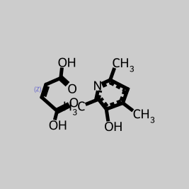 Cc1cc(C)c(O)c(C)n1.O=C(O)/C=C\C(=O)O